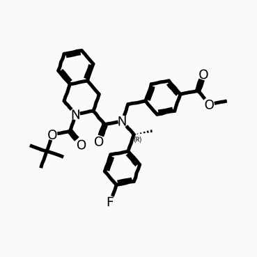 COC(=O)c1ccc(CN(C(=O)C2Cc3ccccc3CN2C(=O)OC(C)(C)C)[C@H](C)c2ccc(F)cc2)cc1